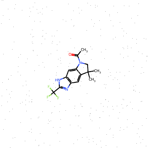 CC(=O)N1CC(C)(C)c2cc3nc(C(F)(F)F)[nH]c3cc21